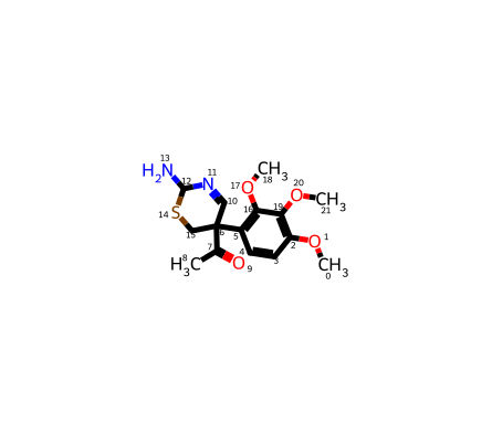 COc1ccc(C2(C(C)=O)C=NC(N)SC2)c(OC)c1OC